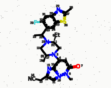 CC[C@@H]1CN(c2cc(=O)n(C)n3cc(CC#N)nc23)[C@@H](C)CN1C(C)c1cc2sc(C)nc2cc1F